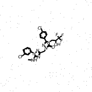 CNc1nc(Cn2nc(-c3ccc(Cl)cc3)n(CC(O)C(F)(F)F)c2=O)nn1-c1cccc(Cl)c1